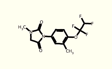 Cc1cc(N2C(=O)CN(C)C2=O)ccc1OC(F)(F)C(F)F